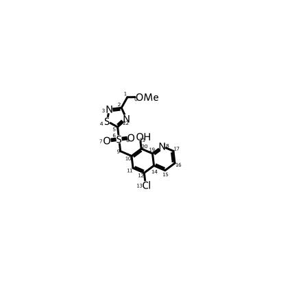 COCc1nsc(S(=O)(=O)Cc2cc(Cl)c3cccnc3c2O)n1